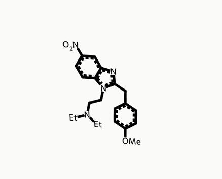 CCN(CC)CCn1c(Cc2ccc(OC)cc2)nc2cc([N+](=O)[O-])ccc21